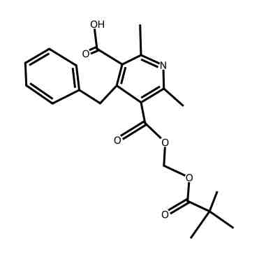 Cc1nc(C)c(C(=O)OCOC(=O)C(C)(C)C)c(Cc2ccccc2)c1C(=O)O